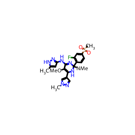 CNC1(c2ccc(S(C)(=O)=O)cc2F)N=C(Nc2cc(C)[nH]n2)C(OC)=C(c2cnn(C)c2)N1